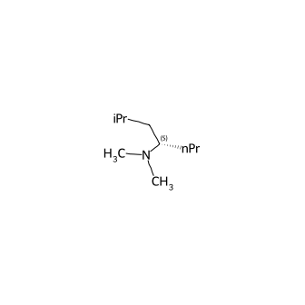 CCC[C@@H](CC(C)C)N(C)C